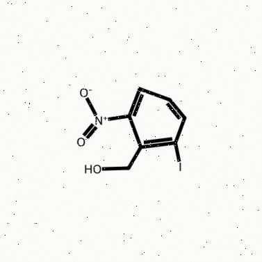 O=[N+]([O-])c1cccc(I)c1CO